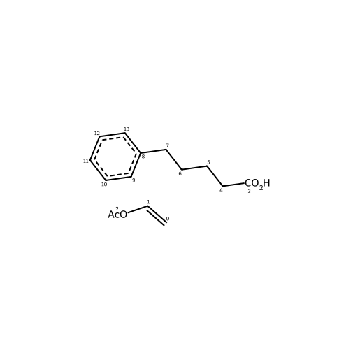 C=COC(C)=O.O=C(O)CCCCc1ccccc1